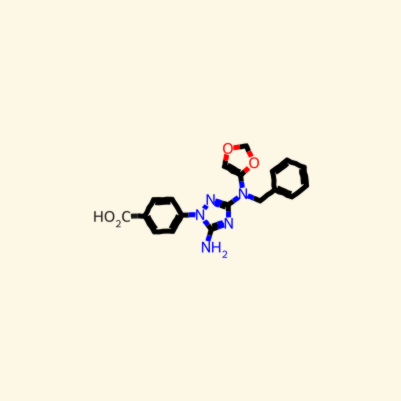 Nc1nc(N(Cc2ccccc2)C2=COCO2)nn1-c1ccc(C(=O)O)cc1